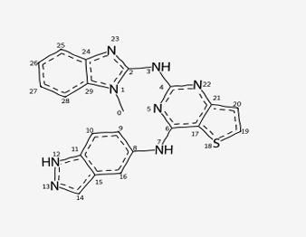 Cn1c(Nc2nc(Nc3ccc4[nH]ncc4c3)c3sccc3n2)nc2ccccc21